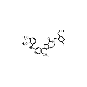 Cc1cnc(Nc2cccc(C)c2C)cc1-c1cc2n(c1)CCN(Cc1cc(F)ccc1CO)C2=O